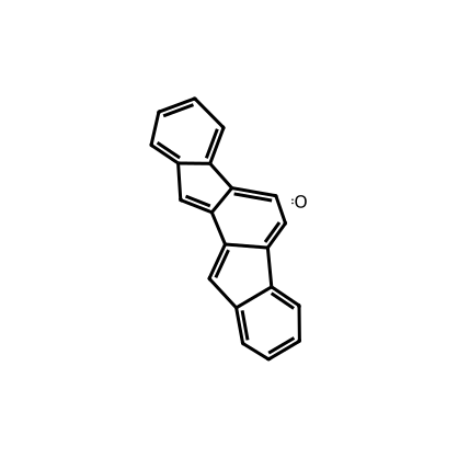 C1=c2c(ccc3c2=Cc2ccccc2-3)-c2ccccc21.[O]